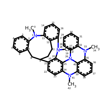 CN1c2ccccc2CC2CCc3c1cccc3N(C)c1c2ccc2c1N1c3ccccc3N(C)c3cccc(c31)N2C